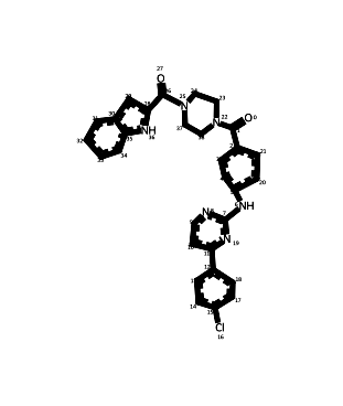 O=C(c1ccc(Nc2nccc(-c3ccc(Cl)cc3)n2)cc1)N1CCN(C(=O)c2cc3ccccc3[nH]2)CC1